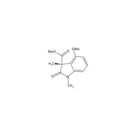 COC(=O)[C@@]1(C)C(=O)N(C)c2cccc(OC)c21